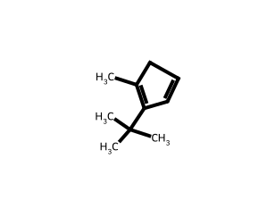 CC1=C(C(C)(C)C)C=CC1